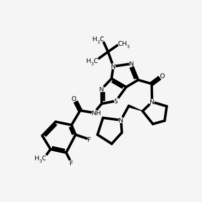 Cc1ccc(C(=O)Nc2nc3c(s2)c(C(=O)N2CCC[C@H]2CN2CCCC2)nn3C(C)(C)C)c(F)c1F